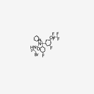 O=C(NC1(CBr)CC1)NC(Cc1ccccc1)(c1ccc(F)cc1)c1cc(F)cc(OC(F)(F)C(F)F)c1